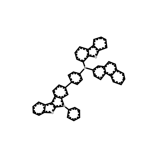 c1ccc(-n2c3cc(-c4ccc(N(c5ccc6c(ccc7ccccc76)c5)c5cccc6c5oc5ccccc56)cc4)ccc3c3c4ccccc4oc32)cc1